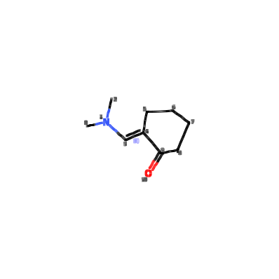 CN(C)/C=C1\CCC[CH]C1=O